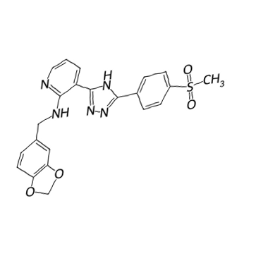 CS(=O)(=O)c1ccc(-c2nnc(-c3cccnc3NCc3ccc4c(c3)OCO4)[nH]2)cc1